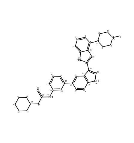 CN1CCN(c2cncc3[nH]c(-c4n[nH]c5ncc(-c6cncc(NC(=O)CC7CCCCC7)c6)cc45)cc23)CC1